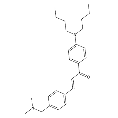 CCCCN(CCCC)c1ccc(C(=O)C=Cc2ccc(CN(C)C)cc2)cc1